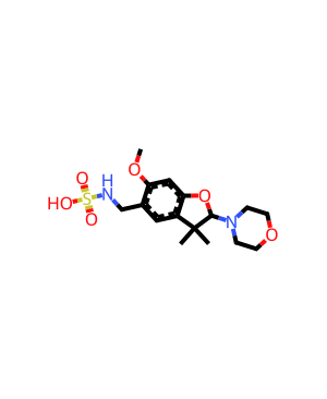 COc1cc2c(cc1CNS(=O)(=O)O)C(C)(C)C(N1CCOCC1)O2